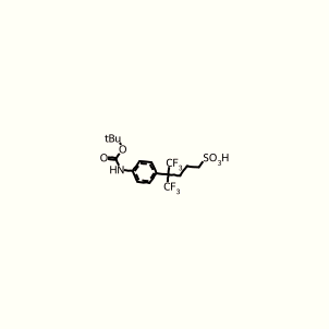 CC(C)(C)OC(=O)Nc1ccc(C(CCCS(=O)(=O)O)(C(F)(F)F)C(F)(F)F)cc1